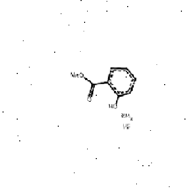 COC(=O)c1ccccc1O.F.N